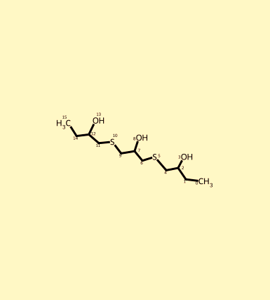 CCC(O)CSCC(O)CSCC(O)CC